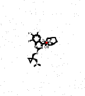 CN(C)CC1(COc2nc(N3CC4CCC(C3)N4C(=O)O)c3cc(Cl)c(Br)c(F)c3n2)CC1